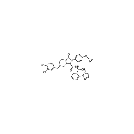 CC(NC(=O)c1c2n(c(=O)n1-c1ccc(OC3CC3)cc1)CCN(Cc1ccc(Br)c(Cl)c1)C2)c1ccccc1-n1cccn1